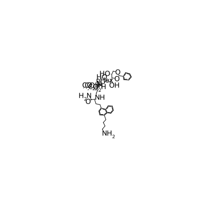 CC(=O)O.CC(=O)O.CC(=O)O.CCCCCCN(CCCNC(CCc1ccc(CCCCN)c2ccccc12)C(N)=O)CC(O)C(O)[C@@H]1OC(c2ccccc2)OC[C@H]1O